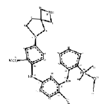 COc1cc(N2CCC3(CNC3)C2)ccc1Nc1ncc(Cl)c(Nc2ccccc2[PH](C)(C)OI)n1